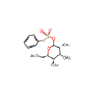 CC(=O)OC[C@H]1O[C@@H](OS(=O)(=O)Sc2ccccc2)[C@H](OC(C)=O)[C@@H](OC(C)=O)[C@H]1OC(C)=O